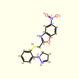 O=[N+]([O-])c1ccc2oc(CSc3ccccc3N3CCC=N3)nc2c1